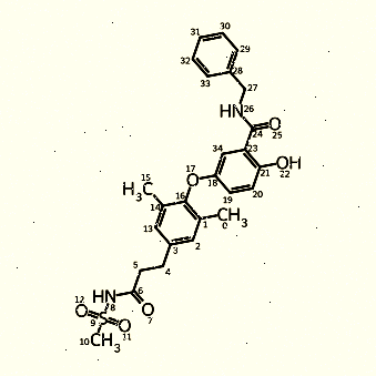 Cc1cc(CCC(=O)NS(C)(=O)=O)cc(C)c1Oc1ccc(O)c(C(=O)NCc2ccccc2)c1